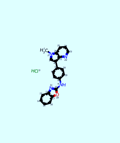 Cl.Cn1cc(-c2ccc(Nc3nc4ccccc4o3)cc2)c2ncccc21